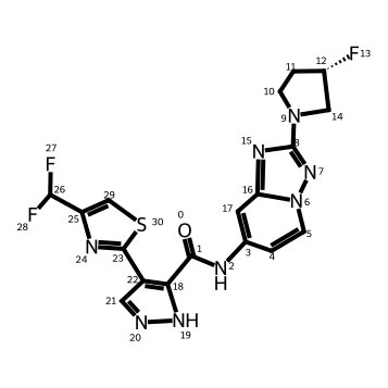 O=C(Nc1ccn2nc(N3CC[C@H](F)C3)nc2c1)c1[nH]ncc1-c1nc(C(F)F)cs1